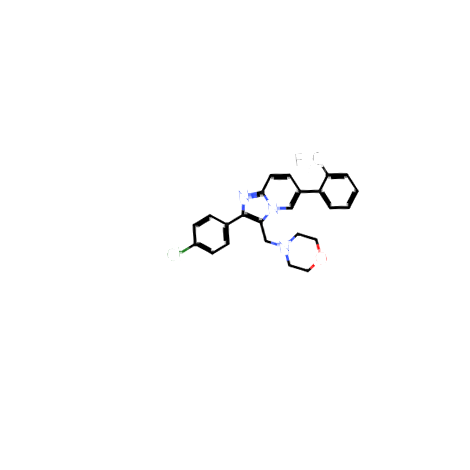 FC(F)(F)c1ccccc1-c1ccc2nc(-c3ccc(Cl)cc3)c(CN3CCOCC3)n2c1